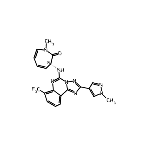 CN1C=CC=C[C@@H](Nc2nc3c(C(F)(F)F)cccc3c3nc(-c4cnn(C)c4)nn23)C1=O